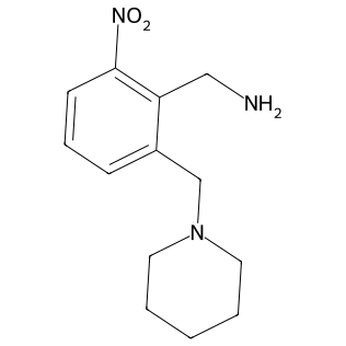 NCc1c(CN2CCCCC2)cccc1[N+](=O)[O-]